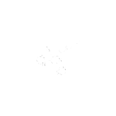 CCCCSCSc1nc(-c2nccs2)cc(-c2ncccn2)c1C#N